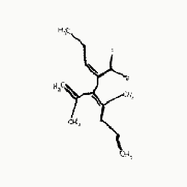 C=C(C)C(/C(=C/CC)C(F)F)=C(/C)CCC